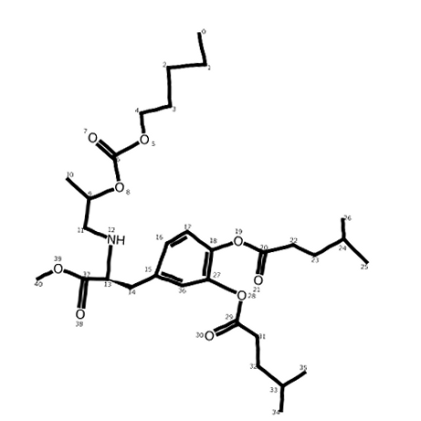 CCCCCOC(=O)OC(C)CN[C@@H](Cc1ccc(OC(=O)CCC(C)C)c(OC(=O)CCC(C)C)c1)C(=O)OC